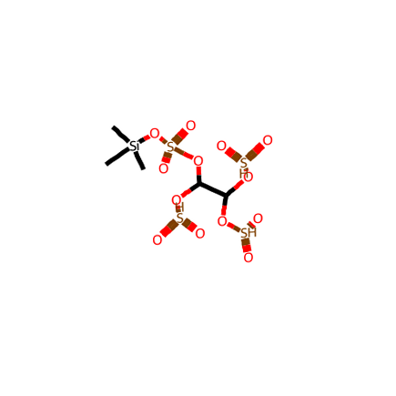 C[Si](C)(C)OS(=O)(=O)OC(O[SH](=O)=O)C(O[SH](=O)=O)O[SH](=O)=O